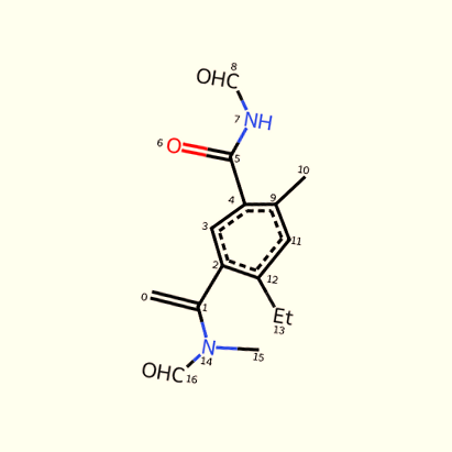 C=C(c1cc(C(=O)NC=O)c(C)cc1CC)N(C)C=O